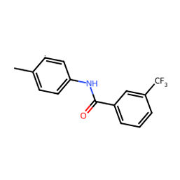 Cc1[c]cc(NC(=O)c2cccc(C(F)(F)F)c2)cc1